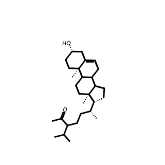 CC(=O)C(CC[C@@H](C)[C@H]1CCC2C3CC=C4C[C@@H](O)CC[C@]4(C)C3CC[C@@]21C)C(C)C